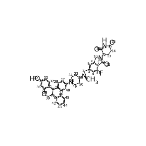 CN(Cc1cc(F)c2c(c1)CN(C1CCC(=O)NC1=O)C2=O)C1CCN(c2ccc([C@@H]3c4ccc(O)cc4OC[C@@H]3c3ccccc3)cc2)CC1